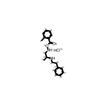 Cc1ccccc1C(=O)ONCC(C)NCCc1ccccc1.Cl